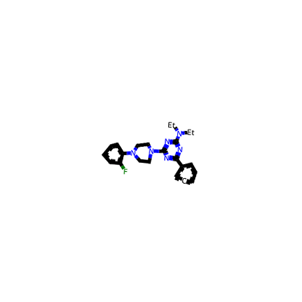 CCN(CC)c1nc(-c2ccccc2)nc(N2CCN(c3ccccc3F)CC2)n1